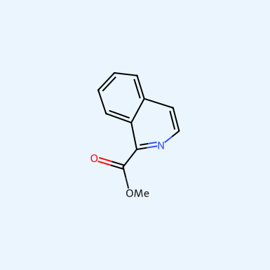 COC(=O)c1nccc2ccccc12